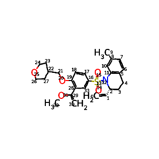 C=C[C@H]1CCc2ccc(C)cc2N1S(=O)(=O)c1ccc(OCC2CCOCC2)c(C(=C)OC)c1